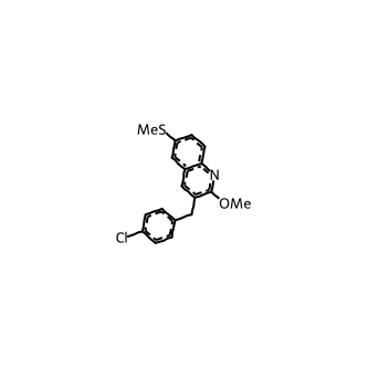 COc1nc2ccc(SC)cc2cc1Cc1ccc(Cl)cc1